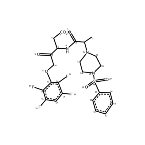 CC(C(=O)NC(CC(=O)O)C(=O)COc1c(F)c(F)cc(F)c1F)N1CCN(S(=O)(=O)c2ccccc2)CC1